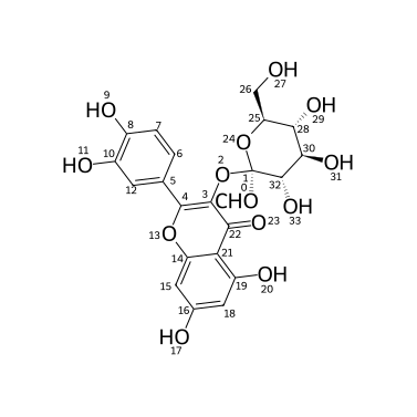 O=C[C@]1(Oc2c(-c3ccc(O)c(O)c3)oc3cc(O)cc(O)c3c2=O)O[C@@H](CO)[C@H](O)[C@@H](O)[C@@H]1O